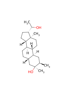 CC(O)[C@H]1CC[C@H]2[C@@H]3CC[C@H]4C[C@](C)(O)[C@H](C)C[C@@H]4[C@H]3CC[C@]12C